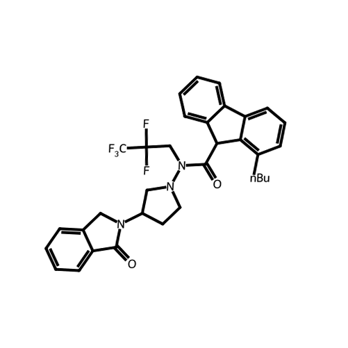 CCCCc1cccc2c1C(C(=O)N(CC(F)(F)C(F)(F)F)N1CCC(N3Cc4ccccc4C3=O)C1)c1ccccc1-2